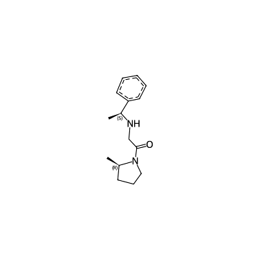 C[C@H](NCC(=O)N1CCC[C@H]1C)c1ccccc1